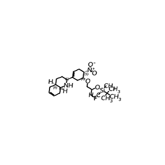 CC(C)(C)[Si](C)(C)OC(CF)CO[C@@H]1CC([C@@H]2CC[C@@H]3CC=CC[C@@H]3N2)=CC[C@@H]1[N+](=O)[O-]